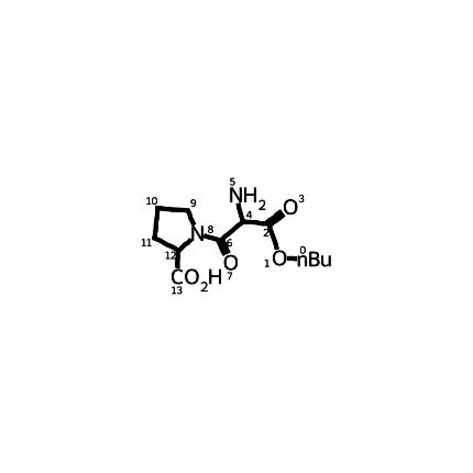 CCCCOC(=O)C(N)C(=O)N1CCCC1C(=O)O